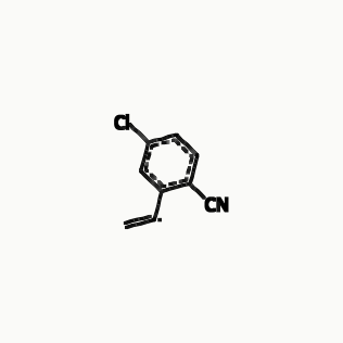 C=[C]c1cc(Cl)ccc1C#N